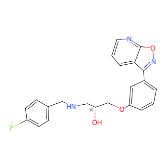 O[C@H](CNCc1ccc(F)cc1)COc1cccc(-c2noc3ncccc23)c1